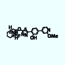 COc1cc(-c2ccc(-c3nnc(O[C@H]4C[C@@H]5CCC[C@@H](N5)[C@H]4F)s3)c(O)c2)ccn1